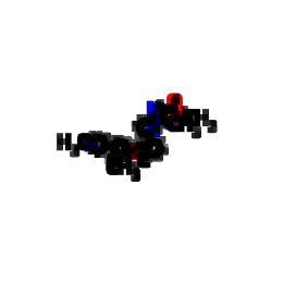 CCOC(=O)c1cnn(-c2cccc(C3=C(COc4ccc(C5CCN(C)CC5)c(CC)c4)C(C)CCC3)n2)c1CC